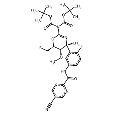 CO[C@H]1[C@@H](CF)OC(N(C(=O)OC(C)(C)C)C(=O)OC(C)(C)C)=N[C@]1(C)c1cc(NC(=O)c2ccc(C#N)cn2)ccc1F